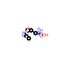 Cc1ncnc(N2CCOc3ccc(-c4ccc5nc(NC(=O)O)[nH]c5c4)cc3C2)c1Cc1ccc(F)cc1